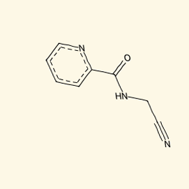 N#CCNC(=O)c1ccccn1